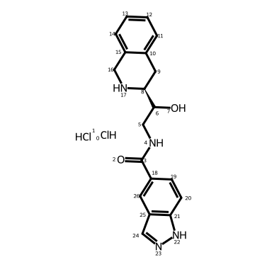 Cl.Cl.O=C(NCC(O)[C@@H]1Cc2ccccc2CN1)c1ccc2[nH]ncc2c1